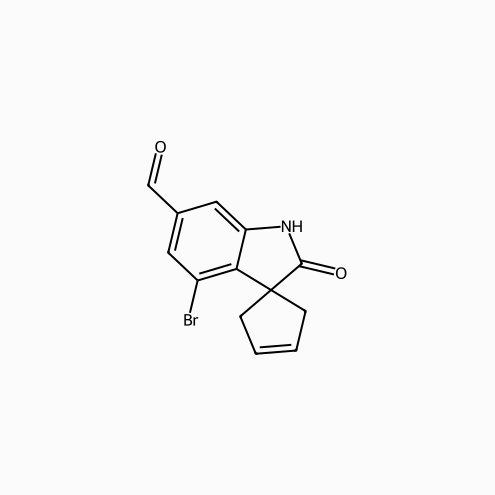 O=Cc1cc(Br)c2c(c1)NC(=O)C21CC=CC1